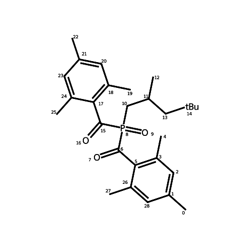 Cc1cc(C)c(C(=O)P(=O)(CC(C)CC(C)(C)C)C(=O)c2c(C)cc(C)cc2C)c(C)c1